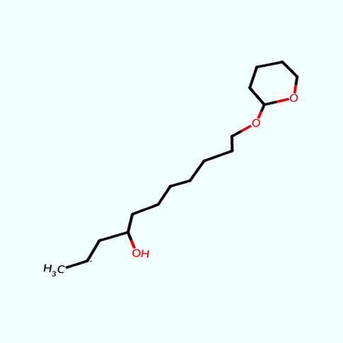 C[CH]CC(O)CCCCCCCOC1CCCCO1